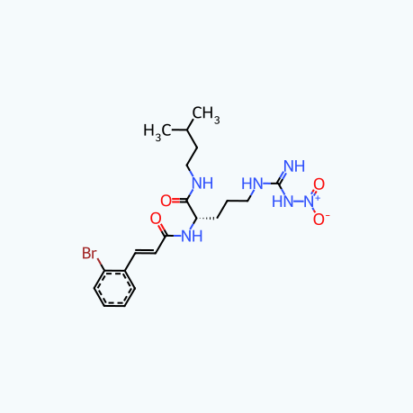 CC(C)CCNC(=O)[C@H](CCCNC(=N)N[N+](=O)[O-])NC(=O)/C=C/c1ccccc1Br